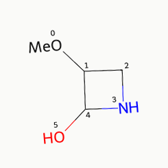 COC1CNC1O